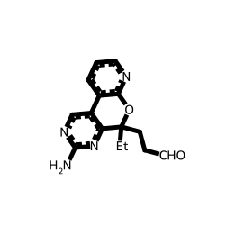 CCC1(CCC=O)Oc2ncccc2-c2cnc(N)nc21